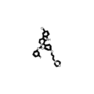 O=C(Oc1cccc(F)c1)N1CCc2c([nH]c3ccc(Cl)cc23)C1c1ccc(OCCCN2CCOCC2)cc1